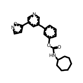 O=C(NC1CCCCCC1)Oc1cccc(-c2cncc(-c3ccno3)c2)c1